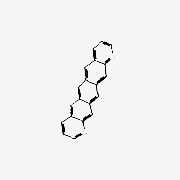 c1cnc2cc3cc4cc5ncccc5cc4cc3cc2c1